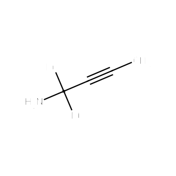 CC#CC(N)(CC)CC